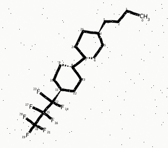 CCCC[C@H]1CC[C@H]([C@H]2CC[C@H](C(F)(F)C(F)(F)C(F)(F)F)CC2)CC1